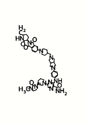 C=C1CCC(N2C(=O)c3ccc(N4CCC(CN5CC6CN(c7ccc(Nc8nc(N9CCC[C@@H](N%10CCN(C)C%10=O)C9)cnc8C(N)=O)cc7)CC6C5)CC4)cc3C2=O)C(=O)N1